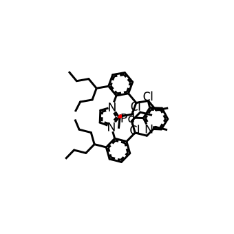 CCCC(CCC)c1cccc(C(CCC)CCC)c1-n1ccn(-c2c(C(CCC)CCC)cccc2C(CCC)CCC)[c]1=[Pd]([Cl])([Cl])[c]1ncccc1Cl